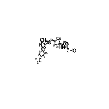 Cc1nc(-c2ccc(C(F)(F)F)cc2)sc1COCc1ccc(C2=NOC(C=O)N2)cc1